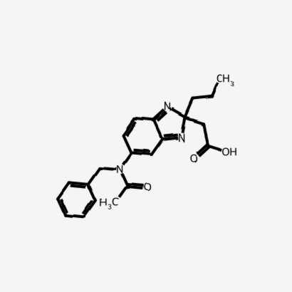 CCCC1(CC(=O)O)N=c2ccc(N(Cc3ccccc3)C(C)=O)cc2=N1